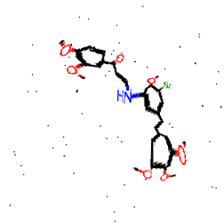 COc1ccc(C(=O)C=CNc2cc(C=Cc3cc(OC)c(OC)c(OC)c3)cc(Br)c2OC)cc1OC